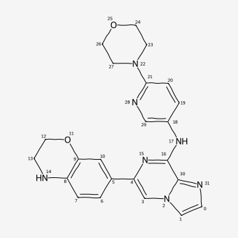 c1cn2cc(-c3ccc4c(c3)OCCN4)nc(Nc3ccc(N4CCOCC4)nc3)c2n1